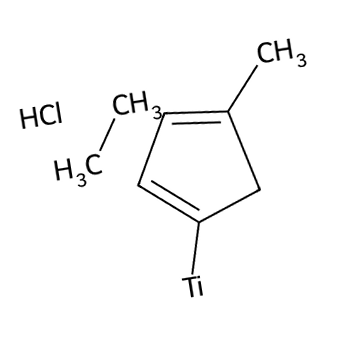 CC.CC1=CC=[C]([Ti])C1.Cl